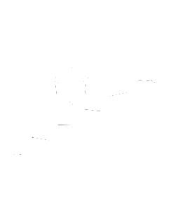 CCCCCCCCCCCCCCCCCCN.c1ncncn1